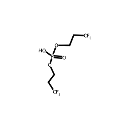 O=P(O)(OCCC(F)(F)F)OCCC(F)(F)F